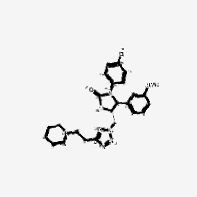 COc1cccc([C@H]2[C@H](Cn3nnc(CCN4CCCCC4)n3)OC(=O)N2c2ccc(Cl)cc2)c1